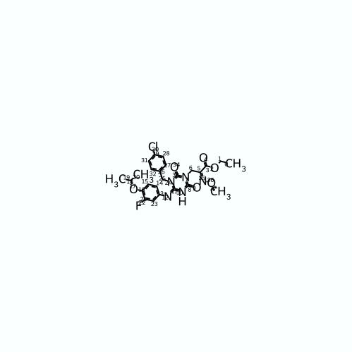 CCOC(=O)C(Cn1c(=O)[nH]c(=Nc2ccc(OC(C)C)c(F)c2)n(Cc2ccc(Cl)cc2)c1=O)=NOC